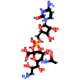 CC(=O)N[C@H]1C([C@H](O)[C@H](O)CN)O[C@](OP(=O)(O)OC[C@H]2O[C@@H](n3ccc(N)nc3=O)[C@@H](O)C2O)(C(=O)O)C[C@H]1O